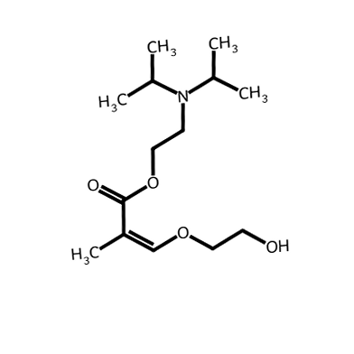 CC(=COCCO)C(=O)OCCN(C(C)C)C(C)C